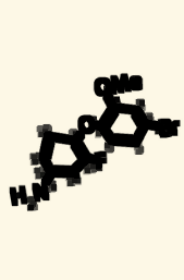 COc1cc(Br)ccc1Oc1ccc(N)cc1F